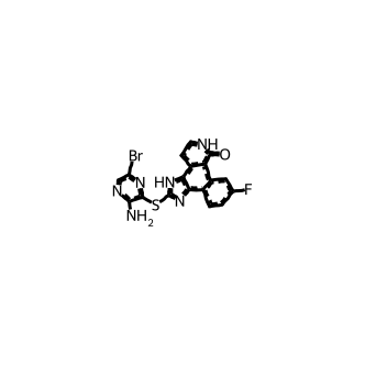 Nc1ncc(Br)nc1Sc1nc2c3ccc(F)cc3c3c(=O)[nH]ccc3c2[nH]1